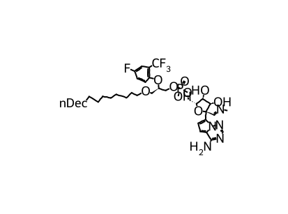 CCCCCCCCCCCCCCCCCCOC[C@H](COP(=O)(O)OC[C@H]1O[C@@](C=NC)(c2ccc3c(N)ncnn23)[C@H](O)[C@@H]1O)Oc1ccc(F)cc1C(F)(F)F